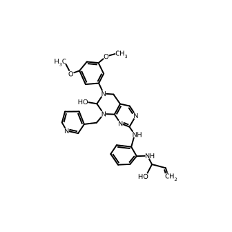 C=CC(O)Nc1ccccc1Nc1ncc2c(n1)N(Cc1cccnc1)C(O)N(c1cc(OC)cc(OC)c1)C2